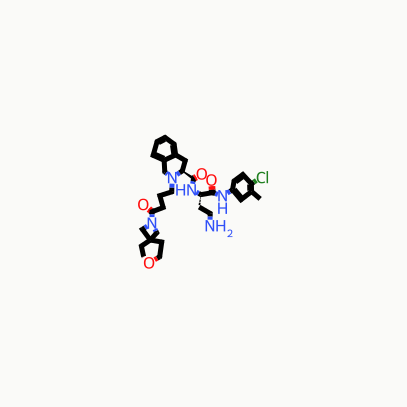 Cc1cc(NC(=O)[C@H](CCN)NC(=O)[C@@H]2Cc3ccccc3CN2CCCC(=O)N2CC3(CCOCC3)C2)ccc1Cl